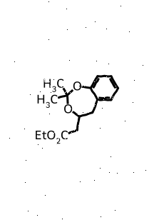 CCOC(=O)CC1Cc2ccccc2OC(C)(C)O1